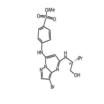 COS(=O)(=O)c1ccc(Nc2cc(N[C@@H](CO)C(C)C)nc3c(Br)cnn23)cc1